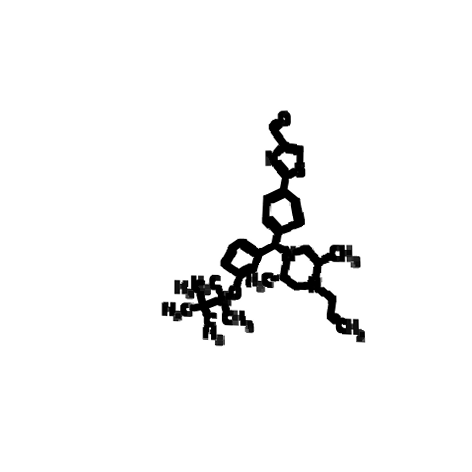 C=CCN1C[C@H](C)N([C@H](c2ccc(-c3nc(C=O)cs3)cc2)c2cccc(O[Si](C)(C)C(C)(C)C)c2)C[C@H]1C